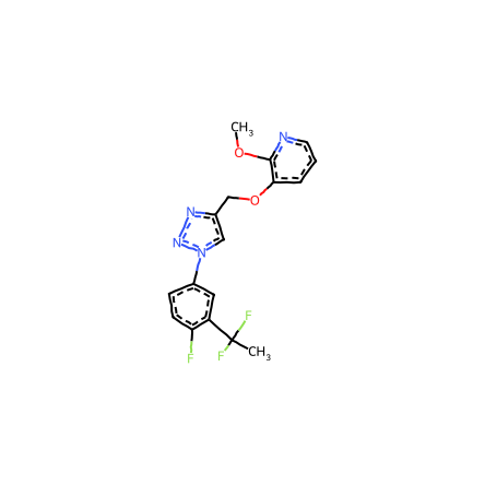 COc1ncccc1OCc1cn(-c2ccc(F)c(C(C)(F)F)c2)nn1